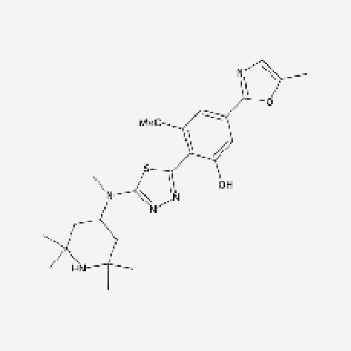 COc1cc(-c2ncc(C)o2)cc(O)c1-c1nnc(N(C)C2CC(C)(C)NC(C)(C)C2)s1